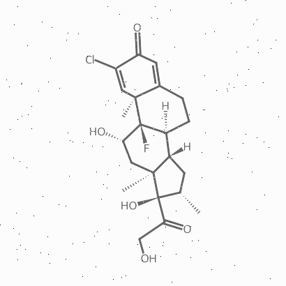 C[C@H]1C[C@H]2[C@@H]3CCC4=CC(=O)C(Cl)=C[C@]4(C)[C@@]3(F)[C@@H](O)C[C@]2(C)[C@@]1(O)C(=O)CO